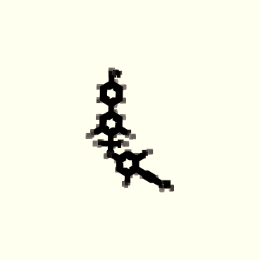 CC#Cc1c(F)cc(OC(F)(F)c2c(F)cc(-c3ccc(CCC)cc3)cc2F)cc1F